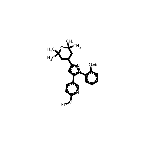 CCOc1ccc(-c2cc(C3CC(C)(C)OC(C)(C)C3)nn2-c2ccccc2OC)cn1